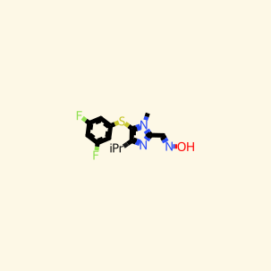 CC(C)c1nc(C=NO)n(C)c1Sc1cc(F)cc(F)c1